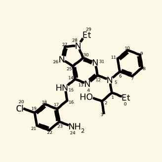 CCC(C(C)O)N(c1ccccc1)c1nc(NCc2cc(Cl)ccc2N)c2ncn(CC)c2n1